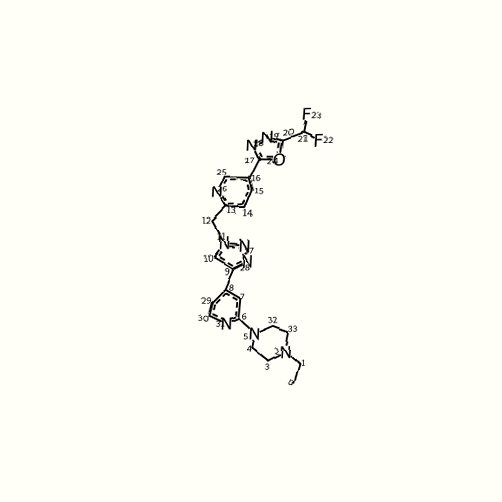 CCN1CCN(c2cc(-c3cn(Cc4ccc(-c5nnc(C(F)F)o5)cn4)nn3)ccn2)CC1